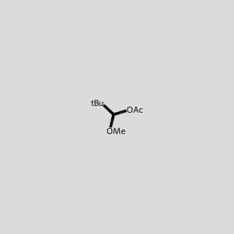 COC(OC(C)=O)C(C)(C)C